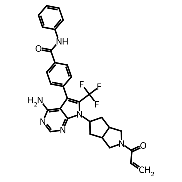 C=CC(=O)N1CC2CC(n3c(C(F)(F)F)c(-c4ccc(C(=O)Nc5ccccc5)cc4)c4c(N)ncnc43)CC2C1